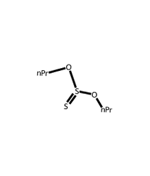 CCCOS(=S)OCCC